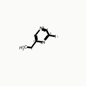 CCc1cncc(I)n1